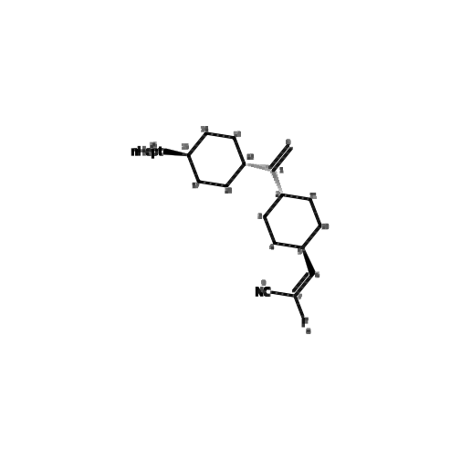 C=C([C@H]1CC[C@H](/C=C(/F)C#N)CC1)[C@H]1CC[C@H](CCCCCCC)CC1